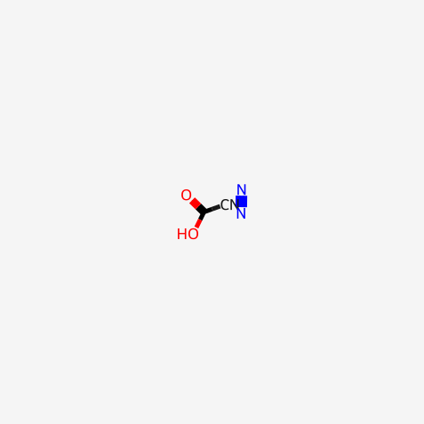 N#CC(=O)O.N#N